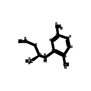 COC[C@H](C)Nc1cc(N)ncc1C#N